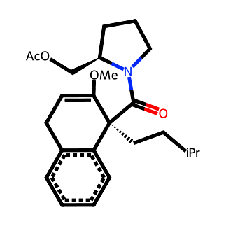 COC1=CCc2ccccc2[C@]1(CCC(C)C)C(=O)N1CCC[C@@H]1COC(C)=O